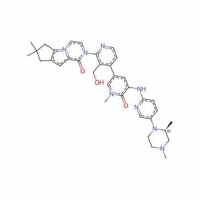 C[C@H]1CN(C)CCN1c1ccc(Nc2cc(-c3ccnc(-n4ccn5c6c(cc5c4=O)CC(C)(C)C6)c3CO)cn(C)c2=O)nc1